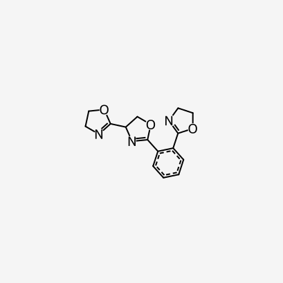 c1ccc(C2=NC(C3=NCCO3)CO2)c(C2=NCCO2)c1